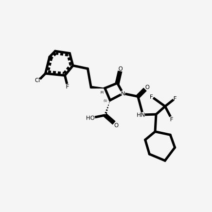 O=C(O)[C@@H]1[C@@H](CCc2cccc(Cl)c2F)C(=O)N1C(=O)NC(C1CCCCC1)C(F)(F)F